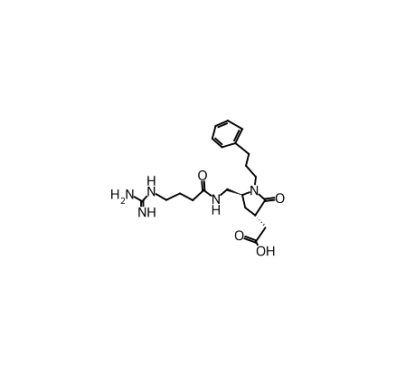 N=C(N)NCCCC(=O)NC[C@@H]1C[C@@H](CC(=O)O)C(=O)N1CCCc1ccccc1